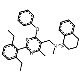 CCc1cccc(CC)c1-c1nc(C)c(CN(C)[C@H]2CCCc3ccccc32)c(Oc2ccccc2)n1